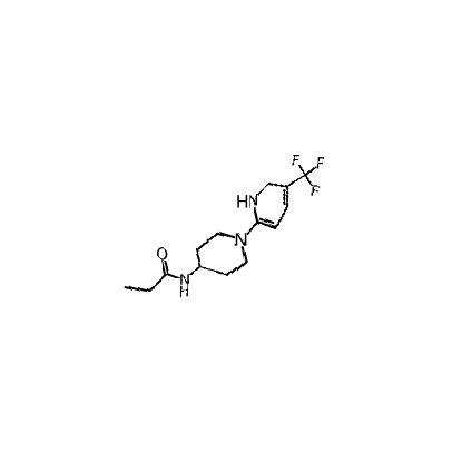 CCC(=O)NC1CCN(C2=CC=C(C(F)(F)F)CN2)CC1